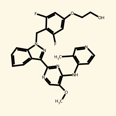 COc1cnc(-c2nn(Cc3c(F)cc(OCCO)cc3F)c3ccccc23)nc1Nc1ccncc1C